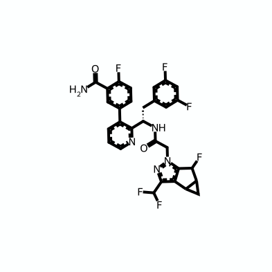 NC(=O)c1cc(-c2cccnc2[C@H](Cc2cc(F)cc(F)c2)NC(=O)Cn2nc(C(F)F)c3c2C(F)C2CC32)ccc1F